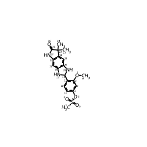 COc1cc(OS(C)(=O)=O)ccc1C1Nc2cc3c(cc2N1)C(C)(C)C(=O)N3